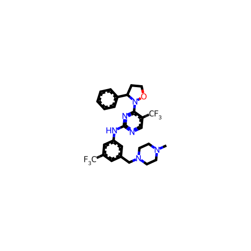 CN1CCN(Cc2cc(Nc3ncc(C(F)(F)F)c(N4OCCC4c4ccccc4)n3)cc(C(F)(F)F)c2)CC1